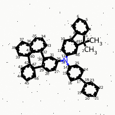 CC1(C)c2ccccc2-c2ccc(N(c3ccc(-c4ccccc4)cc3)c3ccc4c(c3)-c3cccc5cccc(c35)-c3ccccc3-4)cc21